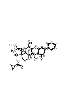 CC1(C(=O)O)CC1C1(C)[C@@H](OC(=O)C2CC2)CC[C@]2(C)[C@@H]3C(Oc4cc(-c5cccnc5)oc(=O)c4[C@@H]3O)C(O)C[C@@H]12